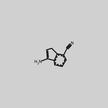 N#Cc1cccc2c1CC=C2N